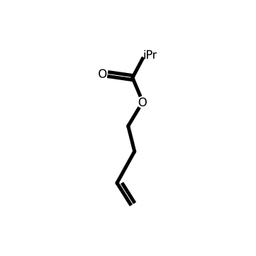 C=CCCOC(=O)C(C)C